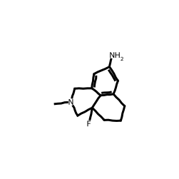 CN1Cc2cc(N)cc3c2C(F)(CCC3)C1